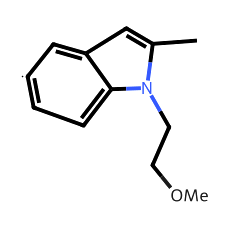 COCCn1c(C)cc2c[c]ccc21